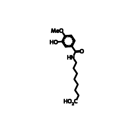 COc1ccc(C(=O)NCCCCCCCC(=O)O)cc1O